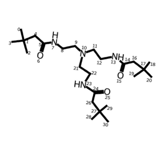 CC(C)(C)CC(=O)NCCN(CCNC(=O)CC(C)(C)C)CCNC(=O)CC(C)(C)C